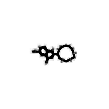 O=c1cc(C2CCCCCCCCCCC2)oc2ccc(O)cc12